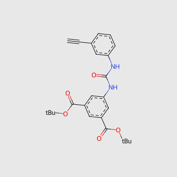 C#Cc1cccc(NC(=O)Nc2cc(C(=O)OC(C)(C)C)cc(C(=O)OC(C)(C)C)c2)c1